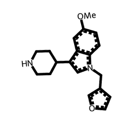 COc1ccc2c(c1)c(C1CCNCC1)cn2Cc1ccoc1